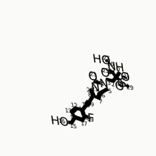 CC(CCN1Cc2cc(C#Cc3ccc(CO)cc3F)cn2C1=O)(C(=O)NO)S(C)(=O)=O